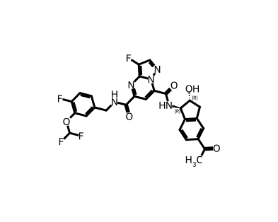 CC(=O)c1ccc2c(c1)C[C@@H](O)[C@@H]2NC(=O)c1cc(C(=O)NCc2ccc(F)c(OC(F)F)c2)nc2c(F)cnn12